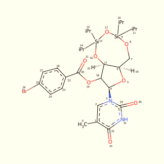 Cc1cn([C@@H]2O[C@@H]3CO[Si](C(C)C)(C(C)C)O[Si](C(C)C)(C(C)C)O[C@@H]3C2OC(=O)c2ccc(Br)cc2)c(=O)[nH]c1=O